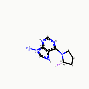 Nn1cnc2c(N3CCC[C@@H]3I)ncnc21